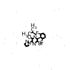 CC(C)Cn1c(-c2c(F)cccc2F)c(Br)nc(-n2cccn2)c1=O